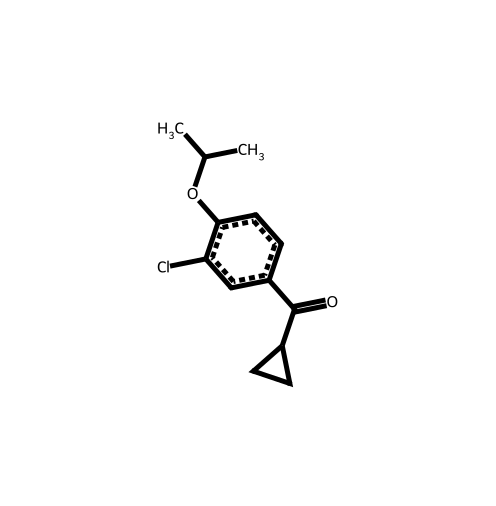 CC(C)Oc1ccc(C(=O)C2CC2)cc1Cl